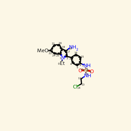 CCn1c(-c2ccc(NS(=O)(=O)NCCCl)cc2)c(N)c2ccc(OC)cc21